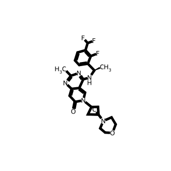 Cc1nc(N[C@H](C)c2cccc(C(F)F)c2F)c2cn(C34CC(N5CCOCC5)(C3)C4)c(=O)cc2n1